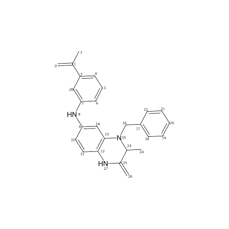 C=C(C)c1cccc(Nc2ccc3c(c2)N(Cc2ccccc2)C(C)C(=C)N3)c1